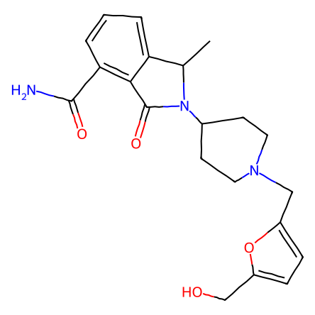 CC1c2cccc(C(N)=O)c2C(=O)N1C1CCN(Cc2ccc(CO)o2)CC1